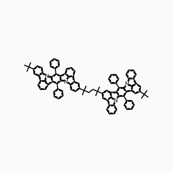 CC(C)(C)c1ccc2c(c1)c1cccc3c4c(-c5ccccc5)c5c(c(-c6ccccc6)c4n2c13)c1cccc2c3cc(C(C)(C)CCC(C)(C)c4cc6c7ccccc7n7c8c(-c9ccccc9)c9c%10cc(C(C)(C)C)cc%11c%12ccccc%12n(c9c(-c9ccccc9)c8c(c4)c67)c%11%10)ccc3n5c21